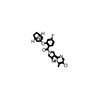 Cc1c(Cl)cnc2c3c(nn12)CN(C(=O)c1ccc(F)cc1O[C@H]1C[C@H]2CC[C@@H](C1)N2)C3